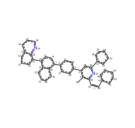 Cc1c(-c2ccc(-c3ccc(-c4cccc5cccnc45)c4ccccc34)cc2)cc(-c2ccccc2)nc1/C=C\c1ccccc1